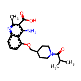 Cc1nc2cccc(OCC3CCN(C(=O)C(C)C)CC3)c2c(N)c1C(=O)O